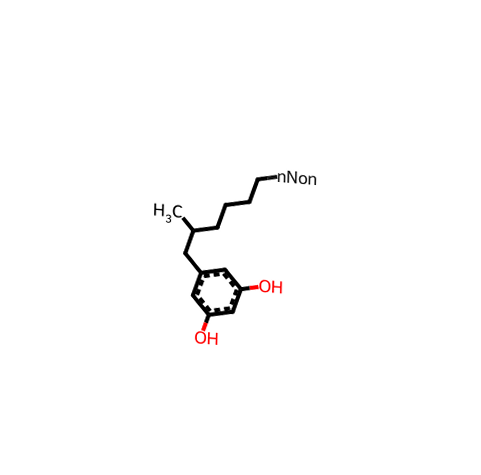 CCCCCCCCCCCCCC(C)Cc1cc(O)cc(O)c1